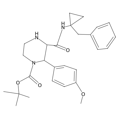 COc1ccc(C2C(C(=O)NC3(Cc4ccccc4)CC3)NCCN2C(=O)OC(C)(C)C)cc1